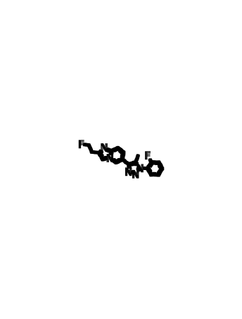 Cc1c(-c2ccc3nc(CCF)cn3c2)nnn1-c1ccccc1F